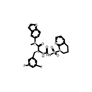 CN(C(=O)[C@H](Cc1cc(F)cc(F)c1)NC(=O)NS(=O)(=O)N1CCCc2cccnc21)c1ccc2sccc2c1